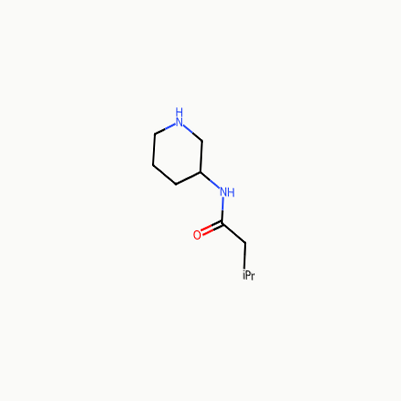 CC(C)CC(=O)NC1CCCNC1